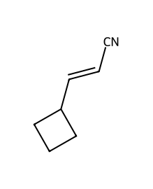 N#C/C=C/C1CCC1